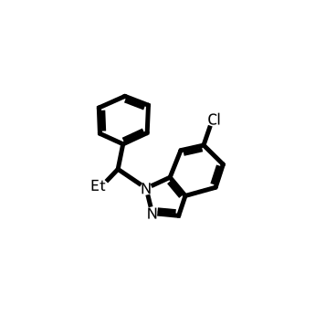 [CH2]CC(c1ccccc1)n1ncc2ccc(Cl)cc21